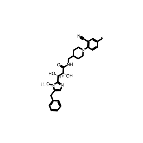 Cn1c(Cc2ccccc2)cnc1[C@H](O)[C@@H](O)C(=O)NCC1CCN(c2ccc(F)cc2C#N)CC1